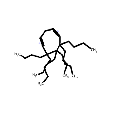 CCCCC1(CCCC)/C=C\C/C=C\C(CCCC)(CCCC)C1(CCCC)CCCC